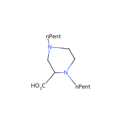 CCCCCN1CCN(CCCCC)C(C(=O)O)C1